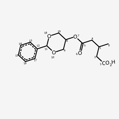 CC(CC(=O)O)CC(=O)OC1COC(c2ccccc2)OC1